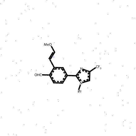 CO/C=C/c1cc(-c2nc(C(F)(F)F)cn2C(C)C)ccc1C=O